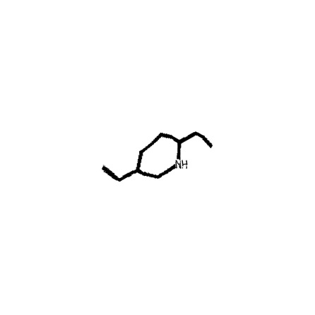 CCC1CCC(CC)NC1